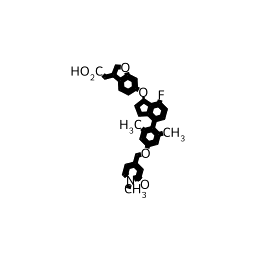 Cc1cc(OCc2ccn(C)c(=O)c2)cc(C)c1-c1ccc(F)c2c1CC[C@H]2Oc1ccc2c(c1)OCC2CC(=O)O